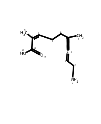 CC(=C=CCN)CCC=C(C)C(=O)O